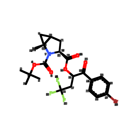 CC(C)(C)OC(=O)N1[C@@H]2CC2C[C@H]1C(=O)OC(CC(F)(F)F)C(=O)c1ccc(Br)cc1